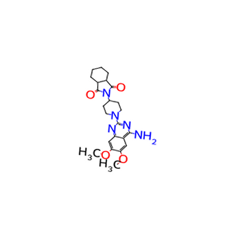 COc1cc2nc(N3CCC(N4C(=O)C5CCCCC5C4=O)CC3)nc(N)c2cc1OC